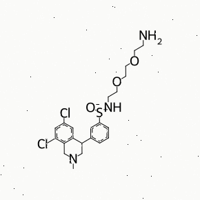 CN1Cc2c(Cl)cc(Cl)cc2C(c2cccc([S+]([O-])NCCOCCOCCN)c2)C1